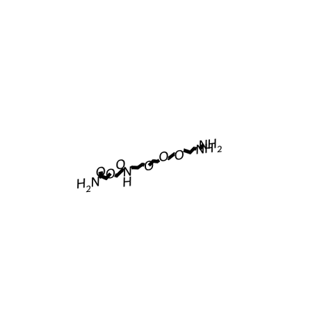 NNCCCOCCOCCOCCCNC(=O)COCC(N)=O